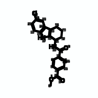 COC(=O)c1ccc(C(=O)NC2CCCc3c2[nH]c2ccc(Cl)cc32)nc1